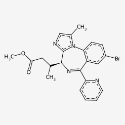 COC(=O)CC(C)[C@@H]1N=C(c2ccccn2)c2cc(Br)ccc2-n2c(C)cnc21